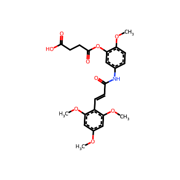 COc1cc(OC)c(/C=C/C(=O)Nc2ccc(OC)c(OC(=O)CCC(=O)O)c2)c(OC)c1